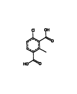 Cc1c(C(=O)O)ccc(Cl)c1C(=O)O